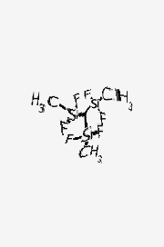 C[Si](F)(F)C([Si](C)(F)F)[Si](C)(F)F